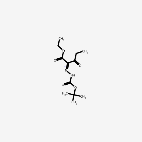 CCOC(=O)/C(=N/NC(=O)OC(C)(C)C)C(=O)CC